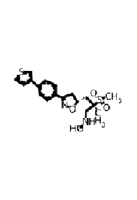 C[C@](CNO)(C[C@H]1CC(c2ccc(-c3ccsc3)cc2)=NO1)S(C)(=O)=O